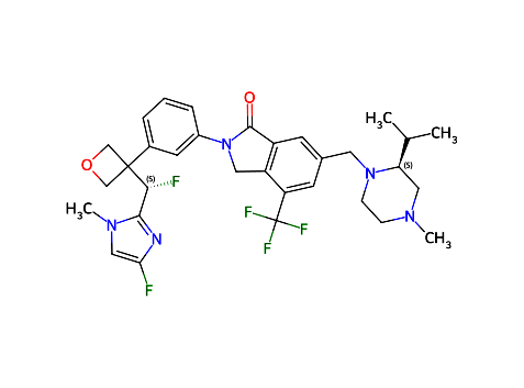 CC(C)[C@H]1CN(C)CCN1Cc1cc2c(c(C(F)(F)F)c1)CN(c1cccc(C3([C@H](F)c4nc(F)cn4C)COC3)c1)C2=O